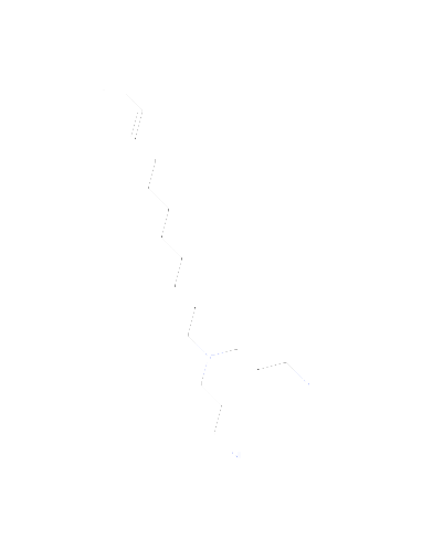 CCCCCCCCC=CCCCCCCCCN(CCCN)CCCN